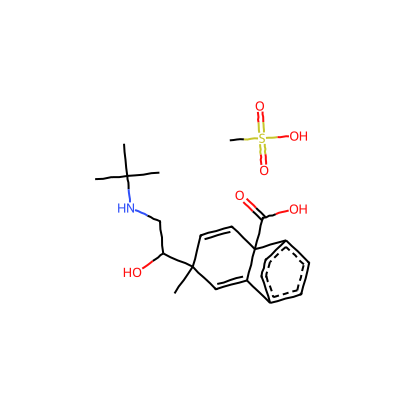 CC(C)(C)NCC(O)C1(C)C=CC2(C(=O)O)C(=C1)c1ccc2cc1.CS(=O)(=O)O